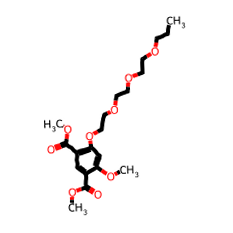 CCCOCCOCCOCCOc1cc(OC)c(C(=O)OC)cc1C(=O)OC